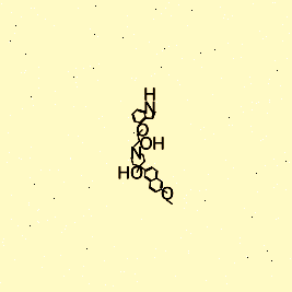 CCOc1ccc2cc(C3(O)CCN(C[C@H](O)COc4cccc5[nH]ccc45)CC3)ccc2c1